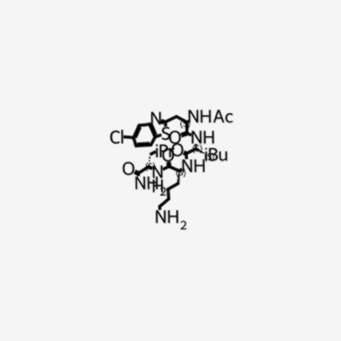 CC[C@H](C)[C@H](NC(=O)[C@H](Cc1nc2cc(Cl)ccc2s1)NC(C)=O)C(=O)N[C@@H](CCCCN)C(=O)N[C@@H](CC(C)C)C(N)=O